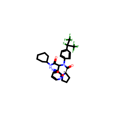 N#CN1CCC[C@@H]1C(=O)N(c1ccc(C(F)(C(F)(F)F)C(F)(F)F)cc1)C(C(=O)NC1CCCCC1)c1cccnc1